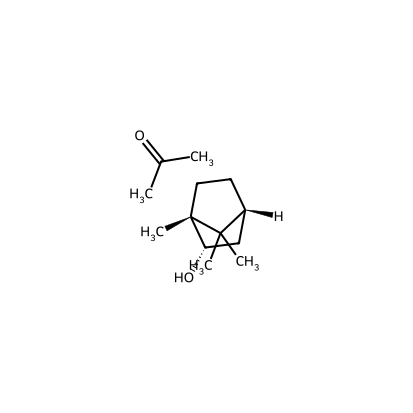 CC(C)=O.CC1(C)[C@@H]2CC[C@@]1(C)[C@@H](O)C2